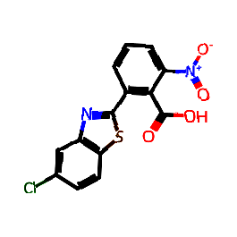 O=C(O)c1c(-c2nc3cc(Cl)ccc3s2)cccc1[N+](=O)[O-]